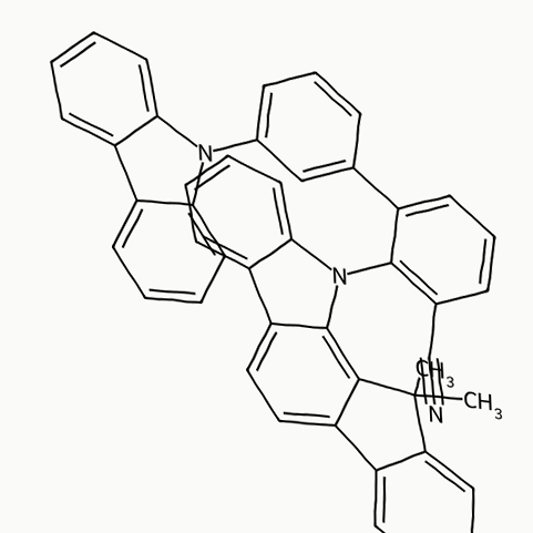 CC1(C)c2ccccc2-c2ccc3c4ccccc4n(-c4c(C#N)cccc4-c4cccc(-n5c6ccccc6c6ccccc65)c4)c3c21